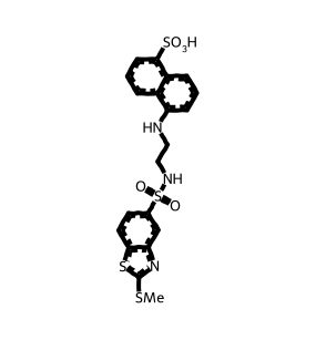 CSc1nc2cc(S(=O)(=O)NCCNc3cccc4c(S(=O)(=O)O)cccc34)ccc2s1